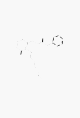 O=C(O)COCCCCN1C(=O)CCCC1CCC(=O)Cc1ccccc1